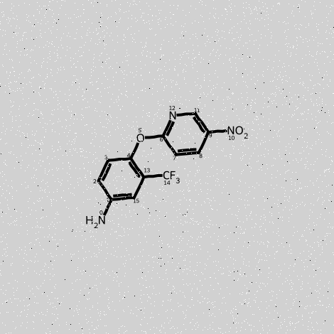 Nc1ccc(Oc2ccc([N+](=O)[O-])cn2)c(C(F)(F)F)c1